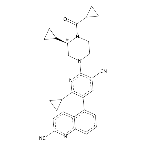 N#Cc1ccc2c(-c3cc(C#N)c(N4CCN(C(=O)C5CC5)[C@H](C5CC5)C4)nc3C3CC3)cccc2n1